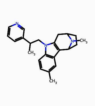 Cc1ccc2c(c1)c1c(n2CC(C)c2cccnc2)CC2CCC1N2C